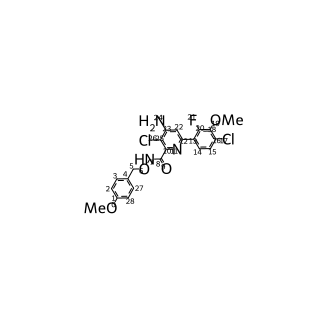 COc1ccc(CONC(=O)c2nc(-c3ccc(Cl)c(OC)c3F)cc(N)c2Cl)cc1